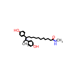 CC/C(=C(/CCCCCCCCCCC(=O)NC)c1ccc(O)cc1)c1ccc(O)cc1